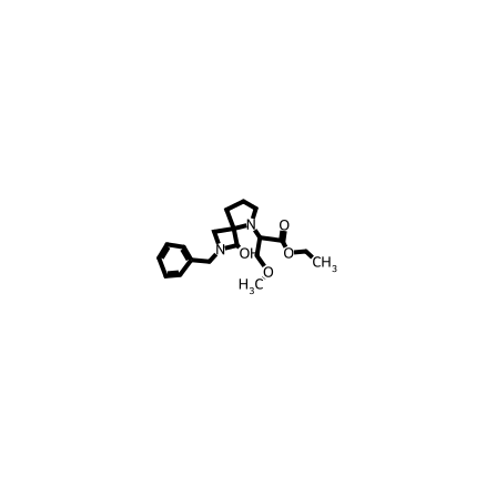 CCOC(=O)C(COC)N1CCCC12CN(Cc1ccccc1)C2O